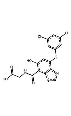 O=C(O)CNC(=O)c1c(O)cc(Sc2cc(Cl)cc(Cl)c2)n2ncnc12